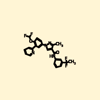 Cc1nn(-c2ccc(OC(F)F)c(-c3ccccn3)c2)cc1C(=O)Nc1cccc(C(C)(F)F)c1